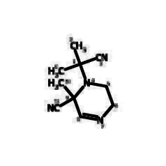 CC(C)(C#N)N1CCN=CC1(C)C#N